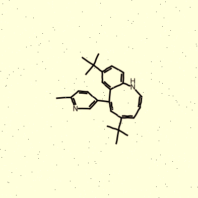 Cc1ccc(-c2cc(C(C)(C)C)ccc[nH]c3ccc(C(C)(C)C)cc23)cn1